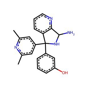 Cc1cc(C2(c3cccc(O)c3)NC(N)c3ncccc32)cc(C)n1